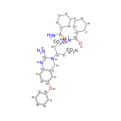 NC(=O)C1CCCCC1.NC(=O)C1CCCCC1.NC1=Nc2ccc(Oc3ccccc3)cc2CN1C(CC(=O)O)CC(=O)O